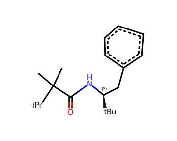 CC(C)C(C)(C)C(=O)N[C@@H](Cc1ccccc1)C(C)(C)C